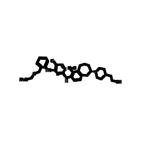 CNCOCc1ccccc1Nc1nc(Nc2ccc3c(c2OC)CCC[C@H](N2CCN(CCO)CC2)C3)ncc1Cl